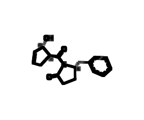 O=C1CC[C@@H](Cc2ccccc2)N1C(=O)[C@H]1CC=C[C@@H]1O